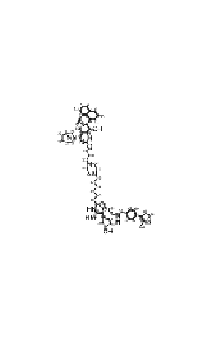 C#Cc1c(C)ccc2cc(C)cc(-c3ncc4c(N5CC6CCC(C5)N6)nc(OCCCN5CCN(CCCCCCC(=O)N[C@H](C(=O)N6C[C@H](O)C[C@H]6C(=O)NCc6ccc(C7=C(C)N=CC7)cc6)C(C)(C)C)CC5)nc4c3O)c12